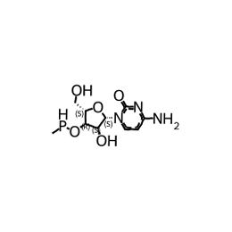 CPO[C@@H]1[C@H](O)[C@@H](n2ccc(N)nc2=O)O[C@H]1CO